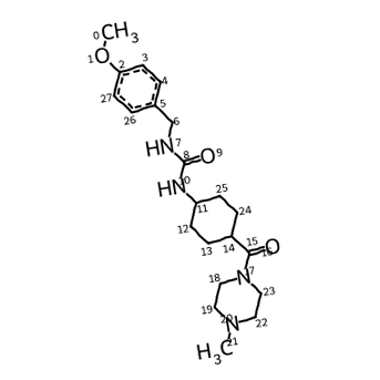 COc1ccc(CNC(=O)NC2CCC(C(=O)N3CCN(C)CC3)CC2)cc1